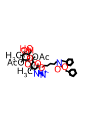 CC(=O)OCC1O[C@H](OCCCCCN(Cc2ccccc2)C(=O)OCc2ccccc2)C(N=[N+]=[N-])[C@@H](C)[C@@H]1O[C@@H]1OC(CO)[C@@H](O)[C@H](C)C1OC(C)=O